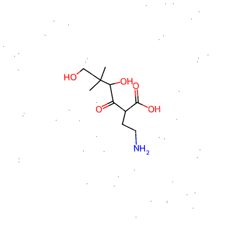 CC(C)(CO)C(O)C(=O)C(CCN)C(=O)O